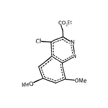 CCOC(=O)c1nnc2c(OC)cc(OC)cc2c1Cl